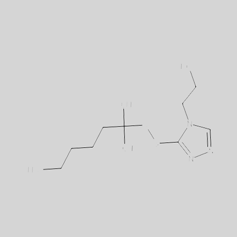 CCCCCC(C)(C)SSc1nncn1CCC